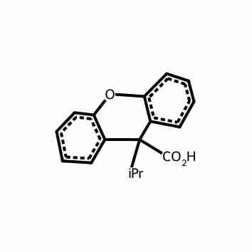 CC(C)C1(C(=O)O)c2ccccc2Oc2ccccc21